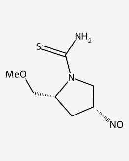 COC[C@H]1C[C@@H](N=O)CN1C(N)=S